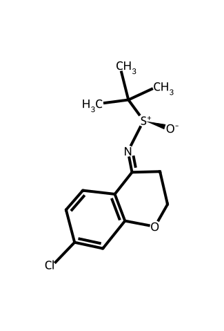 CC(C)(C)[S@@+]([O-])/N=C1\CCOc2cc(Cl)ccc21